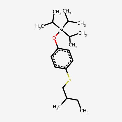 CCC(C)CSc1ccc(O[Si](C(C)C)(C(C)C)C(C)C)cc1